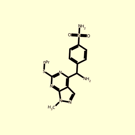 CCCSc1nc(C(N)c2ccc(S(N)(=O)=O)cc2)c2cnn(C)c2n1